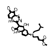 COC(=O)CCCN(CCC(C)C)c1ccc2[nH]c(=O)c(-c3nsc4c(=O)c(=O)ccc=4[nH]3)c(O)c2c1